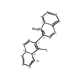 CC1=C(c2ccc3ccccc3[n+]2C)C=CC2C=CC=CC12